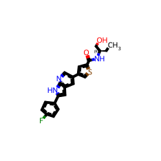 CC[C@H](CO)NC(=O)c1cc(-c2cnc3[nH]c(-c4ccc(F)cc4)cc3c2)cs1